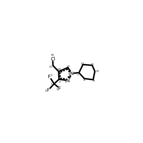 FC(F)(F)c1nn(C2CCCCC2)cc1CCl